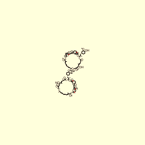 COCC(O[C@@H]1CC[C@@H](C[C@@H](C)[C@@H]2CC(=O)[C@H](C)/C=C(\C)[C@@H](O)[C@@H](OC)C(=O)[C@H](C)C[C@H](C)/C=C/C=C/C=C(\C)[C@@H](OC)C[C@@H]3CC[C@@H](C)[C@@](O)(O3)C(=O)C(=O)N3CCCC[C@H]3C(=O)O2)C[C@H]1OC)[C@@H]1/C=C/C=C/C=C(\C)[C@@H](OC)C[C@@H]2CC[C@@H](C)[C@@](O)(O2)C(=O)C(=O)N2CCCC[C@H]2C(=O)O[C@H]([C@H](C)C[C@@H]2CC[C@@H](O)[C@H](OC)C2)CC(=O)[C@H](C)/C=C(\C)[C@@H](O)[C@@H](OC)C(=O)[C@H](C)C1